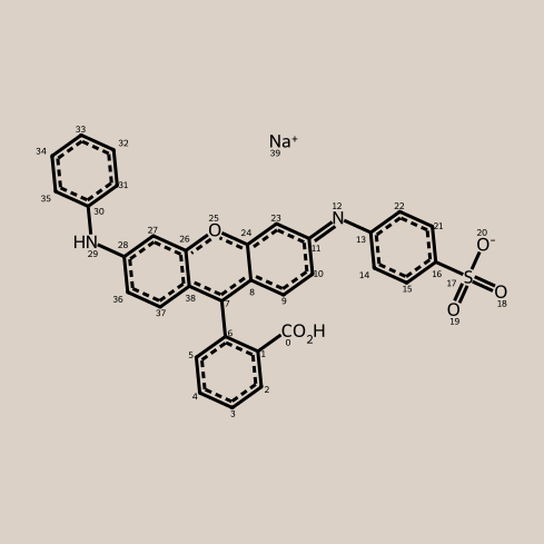 O=C(O)c1ccccc1-c1c2ccc(=Nc3ccc(S(=O)(=O)[O-])cc3)cc-2oc2cc(Nc3ccccc3)ccc12.[Na+]